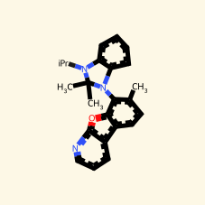 Cc1ccc2c(oc3ncccc32)c1N1c2ccccc2N(C(C)C)C1(C)C